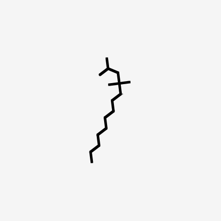 CCCCCCCC[CH]C(C)(C)CC(C)C